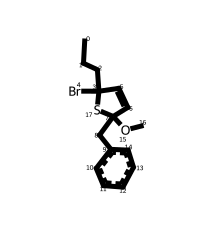 CCCC1(Br)C=CC(Cc2ccccc2)(OC)S1